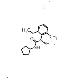 CCc1cccc(C)c1N(S)C(=O)NC1CCCC1